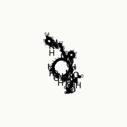 C=C[C@@H]1C[C@]1(NC(=O)[C@@H]1C[C@@H]2CN1C(=O)[C@H](C(C)(C)C)NC(=O)O[C@@H]1C[C@H]1CCCCCc1c(nc3ccccc3c1OCCCN(C)Cc1nc3cc(C)ccc3[nH]1)O2)C(=O)NS(=O)(=O)C1(C)CC1